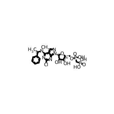 C[C@H](c1ccccc1)N(C)c1nc(Cl)nc2c1cnn2[C@@H]1O[C@H](COP(=O)(O)CP(=O)(O)O)[C@@H](O)[C@H]1O